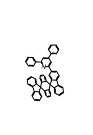 c1ccc(-c2cc(-c3ccccc3)nc(-c3ccc4c(c3)C3(c5ccccc5-4)c4ccccc4C4(c5ccccc5-c5ccccc54)c4ccccc43)c2)cc1